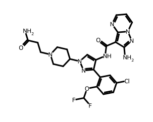 NC(=O)CCN1CCC(n2cc(NC(=O)c3c(N)nn4cccnc34)c(-c3cc(Cl)ccc3OC(F)F)n2)CC1